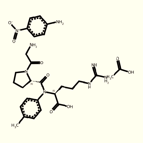 CC(=O)O.Cc1ccc(N(C(=O)[C@@H]2CCCN2C(=O)CN)[C@@H](CCCNC(=N)N)C(=O)O)cc1.Nc1ccc([N+](=O)[O-])cc1